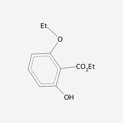 CCOC(=O)c1c(O)cccc1OCC